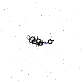 Cc1ccc(/C=C/[C@H]2CC[C@H]3[C@@H]4CC[C@H]5N(C)C(=O)CC[C@]5(C)[C@H]4CC[C@]23C)cc1